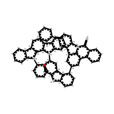 O=c1c2ccccc2c2cc(-c3cccc4sc5ccc(-n6c7ccccc7c7ccc8c9ccccc9n(-c9ccccc9)c8c76)cc5c34)cc3c4cc(-c5ccccc5)ccc4n1c23